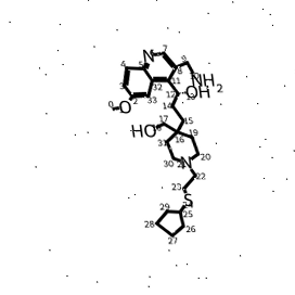 COc1ccc2ncc(CN)c([C@H](O)CCC3(CO)CCN(CCSC4CCCC4)CC3)c2c1